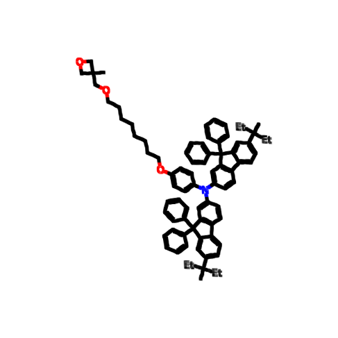 CCC(C)(CC)c1ccc2c(c1)C(c1ccccc1)(c1ccccc1)c1cc(N(c3ccc(OCCCCCCCCOCC4(C)COC4)cc3)c3ccc4c(c3)C(c3ccccc3)(c3ccccc3)c3cc(C(C)(CC)CC)ccc3-4)ccc1-2